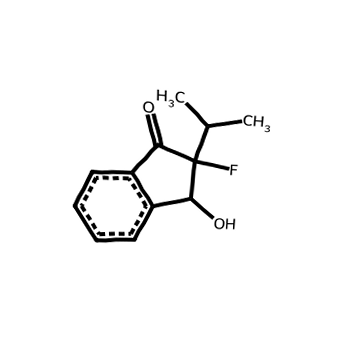 CC(C)C1(F)C(=O)c2ccccc2C1O